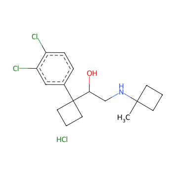 CC1(NCC(O)C2(c3ccc(Cl)c(Cl)c3)CCC2)CCC1.Cl